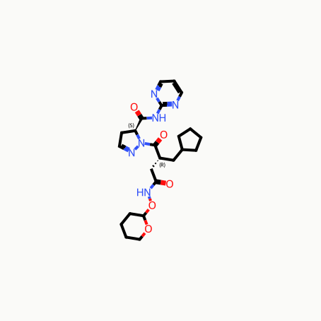 O=C(C[C@@H](CC1CCCC1)C(=O)N1N=CC[C@H]1C(=O)Nc1ncccn1)NOC1CCCCO1